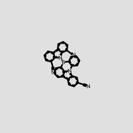 N#Cc1ccc2c3cccc4c3n(c2c1)-c1ccccc1B4n1c2c(C#N)cccc2c2cccc(C#N)c21